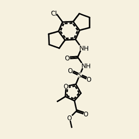 COC(=O)c1cc(S(=O)(=O)NC(=O)Nc2c3c(c(Cl)c4c2CCC4)CCC3)oc1C